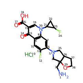 Cl.NCC12CN(c3cc4c(cc3F)c(=O)c(C(=O)O)cn4C3CC3F)CC1CCO2